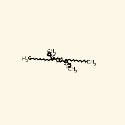 CCCCCCCCCCCCc1cc(-c2cc3sc(-c4cc(CCCCCCCCCCCC)c(-c5ccc(C)s5)s4)cc3s2)sc1-c1ccc(C)s1